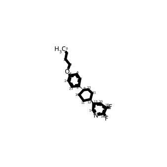 CCCCOc1ccc([C@H]2CC[C@H](c3cnc(F)c(F)c3)CC2)cc1